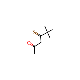 CC(=O)CC(=S)C(C)(C)C